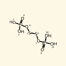 O=P(O)(O)OSSOP(=O)(O)O